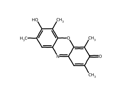 Cc1cc2nc3cc(C)c(=O)c(C)c-3oc2c(C)c1O